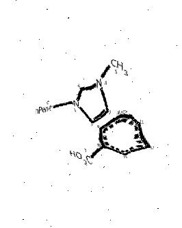 CCCCCN1C=CN(C)C1.O=C(O)c1ccccc1